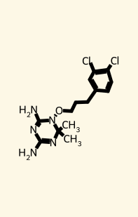 CC1(C)N=C(N)N=C(N)N1OCCCc1ccc(Cl)c(Cl)c1